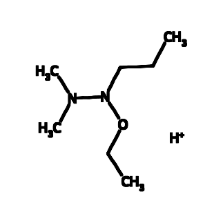 CCCN(OCC)N(C)C.[H+]